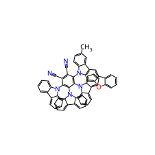 Cc1ccc2c(c1)c1cc3c(cc1n2-c1c(C#N)c(C#N)c(-n2c4ccccc4c4ccccc42)c(-n2c4ccccc4c4ccccc42)c1-n1c2ccccc2c2ccccc21)oc1ccccc13